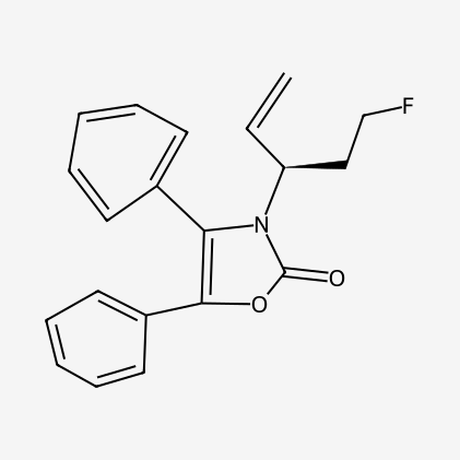 C=C[C@@H](CCF)n1c(-c2ccccc2)c(-c2ccccc2)oc1=O